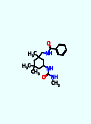 CNC(=O)NC1CC(C)(C)CC(C)(CNC(=O)c2ccccc2)C1